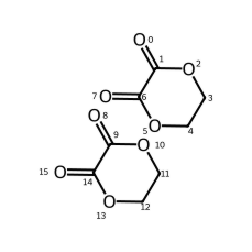 O=C1OCCOC1=O.O=C1OCCOC1=O